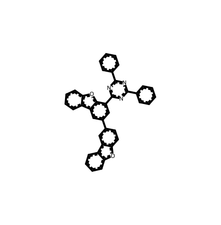 c1ccc(-c2nc(-c3ccccc3)nc(-c3cc(-c4ccc5oc6ccccc6c5c4)cc4c3oc3ccccc34)n2)cc1